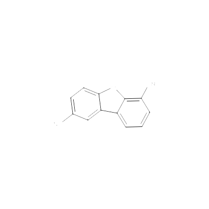 N#Cc1ccc2oc3c(C#N)cccc3c2c1